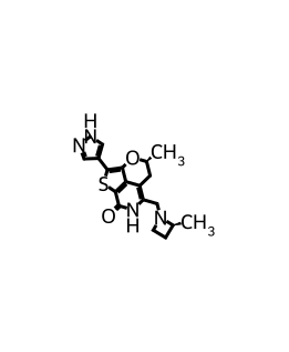 C[C@H]1Cc2c(CN3CC[C@@H]3C)[nH]c(=O)c3sc(-c4cn[nH]c4)c(c23)O1